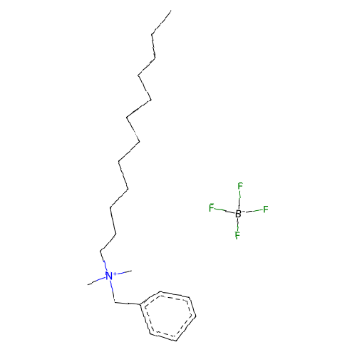 CCCCCCCCCCCC[N+](C)(C)Cc1ccccc1.F[B-](F)(F)F